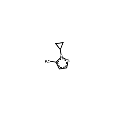 CC(=O)c1ccnn1C1CC1